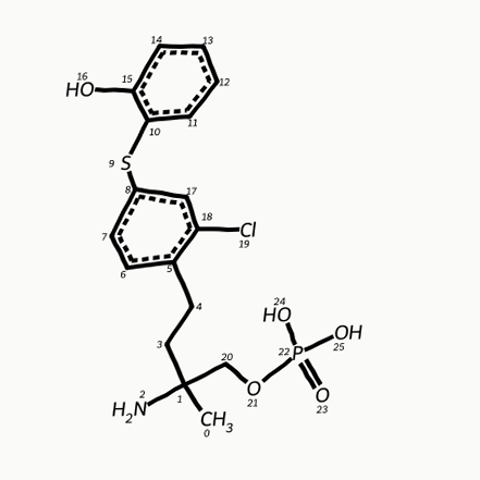 CC(N)(CCc1ccc(Sc2ccccc2O)cc1Cl)COP(=O)(O)O